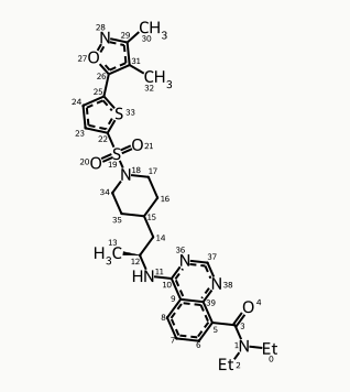 CCN(CC)C(=O)c1cccc2c(N[C@@H](C)CC3CCN(S(=O)(=O)c4ccc(-c5onc(C)c5C)s4)CC3)ncnc12